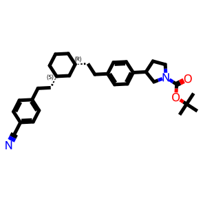 CC(C)(C)OC(=O)N1CCC(c2ccc(CC[C@H]3CCC[C@@H](CCc4ccc(C#N)cc4)C3)cc2)C1